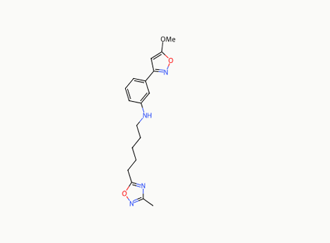 COc1cc(-c2cccc(NCCCCCc3nc(C)no3)c2)no1